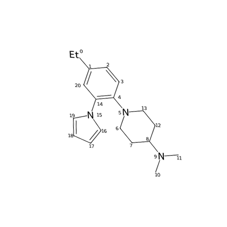 CCc1ccc(N2CCC(N(C)C)CC2)c(-n2cccc2)c1